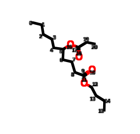 CCCCCC(CCCC(=O)OCCCC)OC(=O)CC